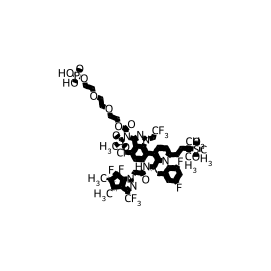 C[C@@H]1c2c(C(F)(F)F)nn(CC(=O)N[C@@H](Cc3cc(F)cc(F)c3)c3nc(CCC(C)(C)S(C)(=O)=O)ccc3-c3ccc(Cl)c4c(N(C(=O)OCCOCCOCCOP(=O)(O)O)S(C)(=O)=O)nn(CC(F)(F)F)c34)c2C(F)(F)[C@@H]1C